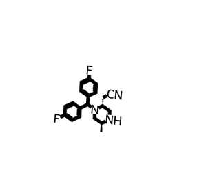 C[C@H]1CN(C(c2ccc(F)cc2)c2ccc(F)cc2)[C@H](CC#N)CN1